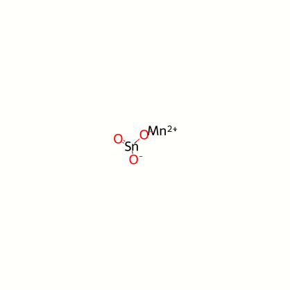 [Mn+2].[O]=[Sn]([O-])[O-]